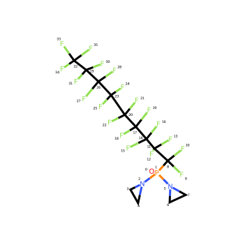 O=P(N1CC1)(N1CC1)C(F)(F)C(F)(F)C(F)(F)C(F)(F)C(F)(F)C(F)(F)C(F)(F)C(F)(F)C(F)(F)F